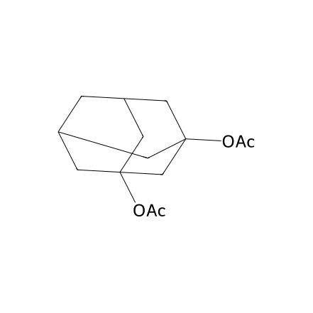 CC(=O)OC12CC3CC(C1)CC(OC(C)=O)(C3)C2